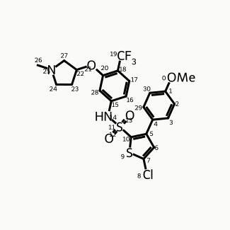 COc1ccc(-c2cc(Cl)sc2S(=O)(=O)Nc2ccc(C(F)(F)F)c(OC3CCN(C)C3)c2)cc1